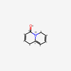 O=C1C=CCC2=CC=CCN12